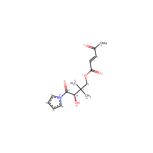 COC(=O)/C=C/C(=O)OCC(C)(C)[C@@H](O)C(=O)n1cccc1